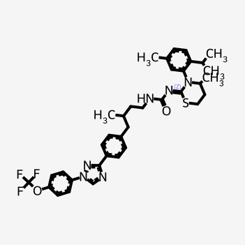 Cc1ccc(C(C)C)c(N2/C(=N/C(=O)NCCC(C)Cc3ccc(-c4ncn(-c5ccc(OC(F)(F)F)cc5)n4)cc3)SCCC2C)c1